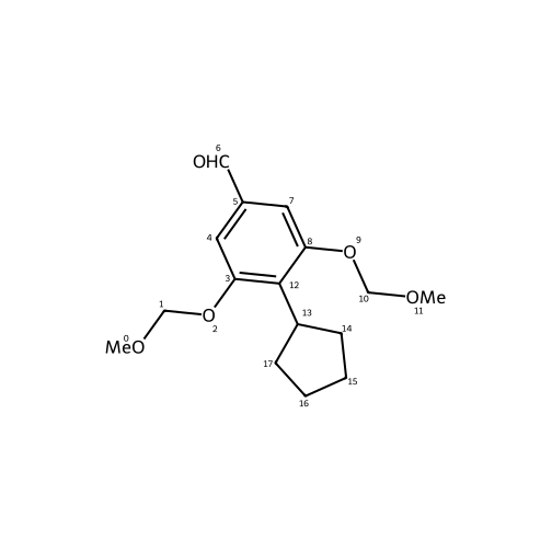 COCOc1cc(C=O)cc(OCOC)c1C1CCCC1